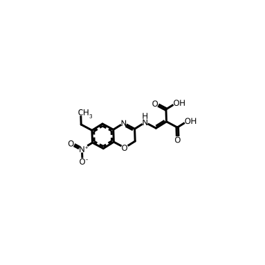 CCc1cc2c(cc1[N+](=O)[O-])OCC(NC=C(C(=O)O)C(=O)O)=N2